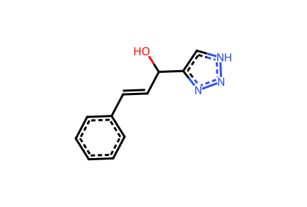 OC(C=Cc1ccccc1)c1c[nH]nn1